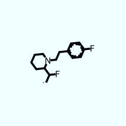 [CH2]C(F)C1CCCCN1CCc1ccc(F)cc1